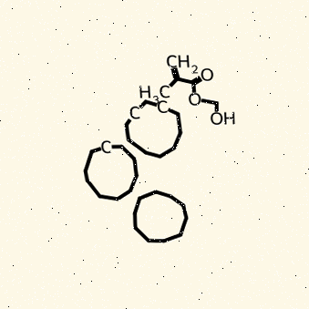 C1CCCCCCCCC1.C1CCCCCCCCC1.C1CCCCCCCCC1.C=C(C)C(=O)OCO